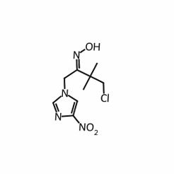 CC(C)(CCl)/C(Cn1cnc([N+](=O)[O-])c1)=N\O